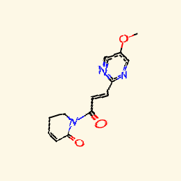 COc1cnc(/C=C/C(=O)N2CCC=CC2=O)nc1